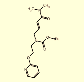 CN(C)C(=O)/C=C/CN(CCOc1ccccn1)C(=O)OC(C)(C)C